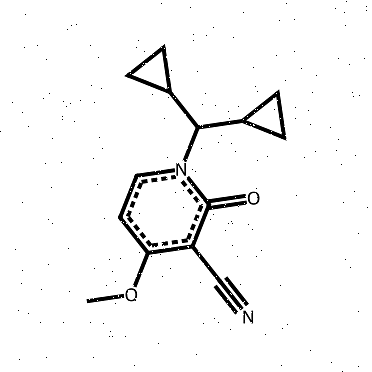 COc1ccn(C(C2CC2)C2CC2)c(=O)c1C#N